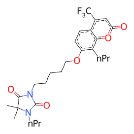 CCCc1c(OCCCCCN2C(=O)N(CCC)C(C)(C)C2=O)ccc2c(C(F)(F)F)cc(=O)oc12